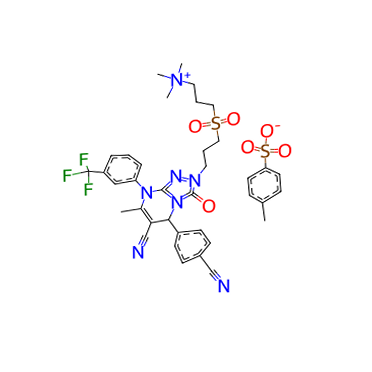 CC1=C(C#N)C(c2ccc(C#N)cc2)n2c(nn(CCCS(=O)(=O)CCC[N+](C)(C)C)c2=O)N1c1cccc(C(F)(F)F)c1.Cc1ccc(S(=O)(=O)[O-])cc1